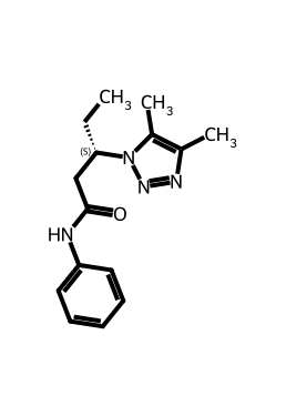 CC[C@@H](CC(=O)Nc1ccccc1)n1nnc(C)c1C